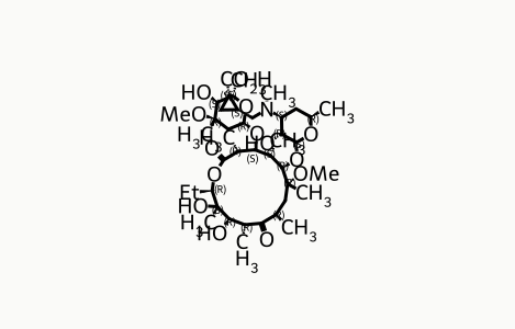 CC[C@H]1OC(=O)[C@H](C)[C@@H](O[C@H]2C[C@@](C)(OC)[C@@H](O)[C@H](C)O2)[C@H](C)[C@@H](O[C@@H]2O[C@H](C)C[C@H](N(C)C[C@H]3C[C@@H]3C(=O)O)[C@H]2O)[C@](C)(OC)C[C@@H](C)C(=O)[C@H](C)[C@@H](O)[C@]1(C)O